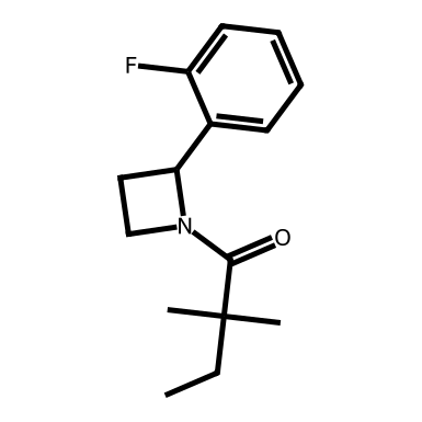 CCC(C)(C)C(=O)N1CCC1c1ccccc1F